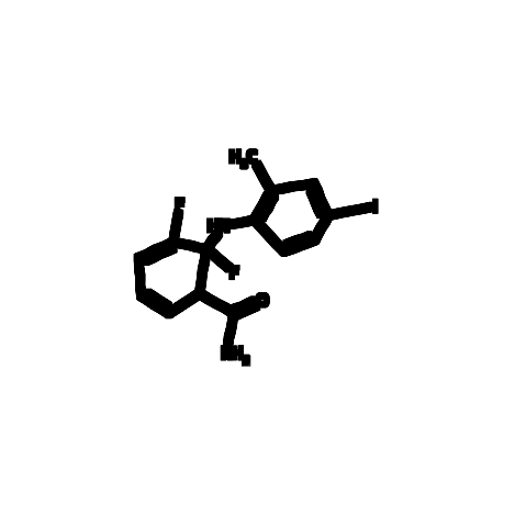 Cc1cc(I)ccc1NC1(F)C(F)=CC=CC1C(N)=O